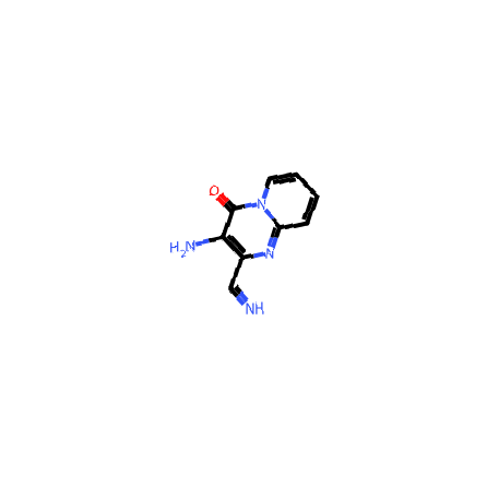 N=Cc1nc2ccccn2c(=O)c1N